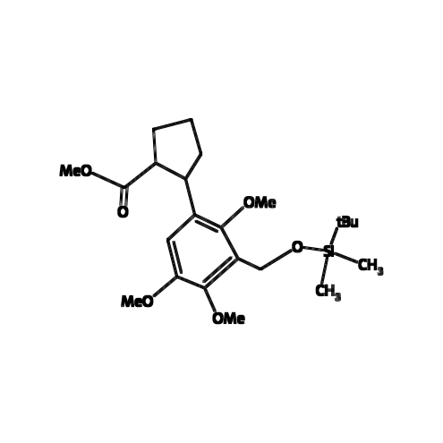 COC(=O)C1CCCC1c1cc(OC)c(OC)c(CO[Si](C)(C)C(C)(C)C)c1OC